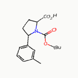 Cc1cccc(C2CCC(C(=O)O)N2C(=O)OC(C)(C)C)c1